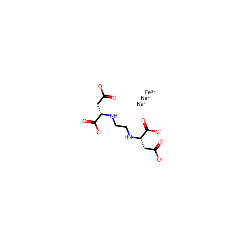 O=C([O-])C[C@H](NCCN[C@@H](CC(=O)[O-])C(=O)[O-])C(=O)[O-].[Fe+3].[Na+].[Na+]